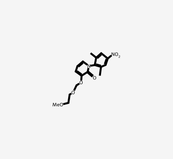 COCCOCOc1cccn(-c2c(C)cc([N+](=O)[O-])cc2C)c1=O